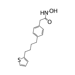 O=C(Cc1ccc(CCCCc2cccs2)cc1)NO